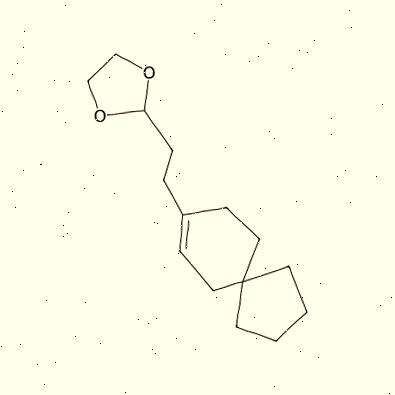 C1=C(CCC2OCCO2)CCC2(C1)CCCC2